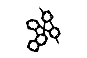 Ic1ccc2c(c1)C1(c3cc(I)ccc3-2)c2ccccc2-c2c1ccc1ccccc21